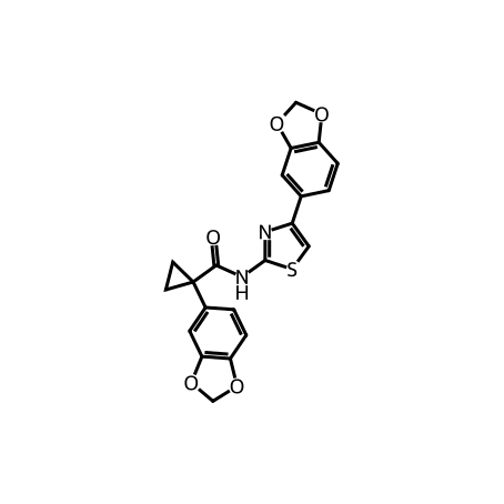 O=C(Nc1nc(-c2ccc3c(c2)OCO3)cs1)C1(c2ccc3c(c2)OCO3)CC1